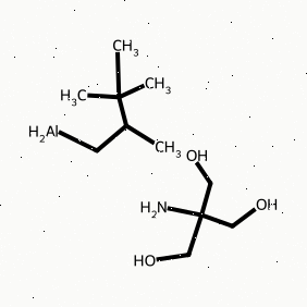 CC([CH2][AlH2])C(C)(C)C.NC(CO)(CO)CO